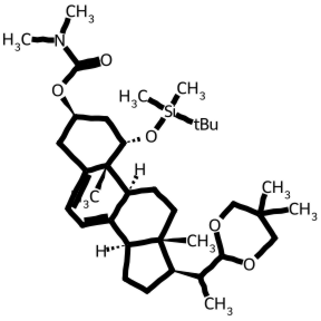 CC(C1OCC(C)(C)CO1)[C@H]1CC[C@H]2C3=CC=C4C[C@@H](OC(=O)N(C)C)C[C@H](O[Si](C)(C)C(C)(C)C)[C@]4(C)[C@H]3CC[C@]12C